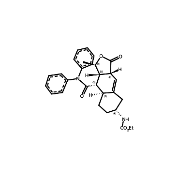 CCOC(=O)N[C@@H]1CC[C@@H]2C(=C[C@H]3C(=O)O[C@H](C)[C@H]3[C@H]2C(=O)N(c2ccccc2)c2ccccc2)C1